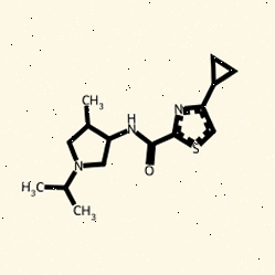 CC1CN(C(C)C)CC1NC(=O)c1nc(C2CC2)cs1